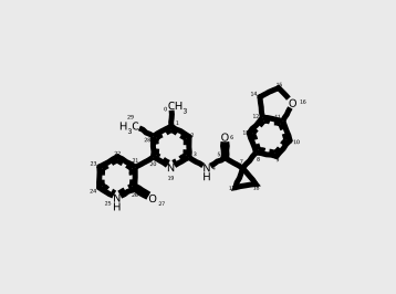 Cc1cc(NC(=O)C2(c3ccc4c(c3)CCO4)CC2)nc(-c2ccc[nH]c2=O)c1C